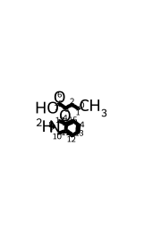 CCCC(=O)C(=O)O.[2H]N1Cc2ccccc2C1